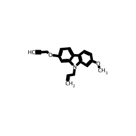 C#CCOc1ccc2c3ccc(OC)cc3n(CC=C)c2c1